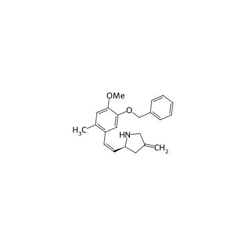 C=C1CN[C@H](/C=C\c2cc(OCc3ccccc3)c(OC)cc2C)C1